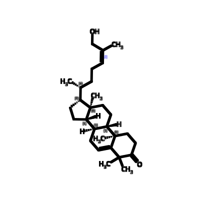 C/C(=C/CC[C@@H](C)[C@H]1CC[C@H]2[C@@H]3CC=C4C(C)(C)C(=O)CC[C@]4(C)[C@H]3CC[C@]12C)CO